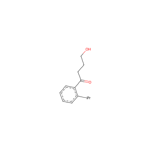 CC(C)c1ccccc1C(=O)CCCO